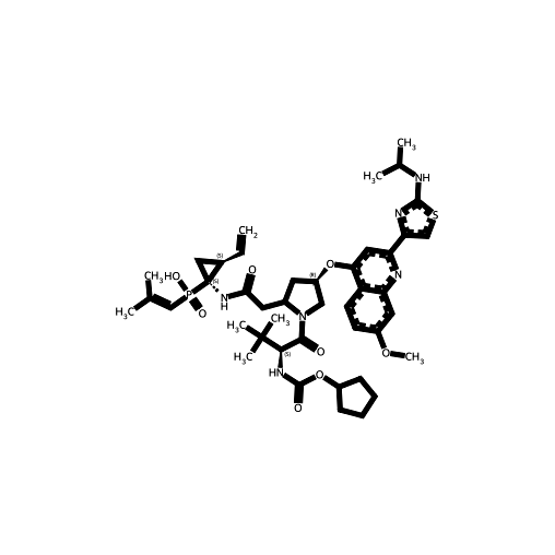 C=C[C@@H]1C[C@]1(NC(=O)CC1C[C@@H](Oc2cc(-c3csc(NC(C)C)n3)nc3cc(OC)ccc23)CN1C(=O)[C@@H](NC(=O)OC1CCCC1)C(C)(C)C)P(=O)(O)C=C(C)C